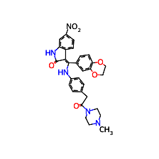 CN1CCN(C(=O)Cc2ccc(N/C(=C3\C(=O)Nc4cc([N+](=O)[O-])ccc43)c3ccc4c(c3)OCCO4)cc2)CC1